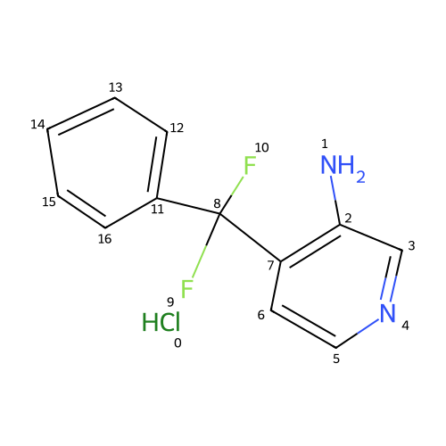 Cl.Nc1cnccc1C(F)(F)c1ccccc1